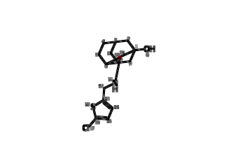 OC12CC3CCC(C(C3)C1)C(NCc1ccc(Cl)s1)C2